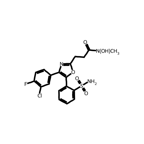 CN(O)C(=O)CCc1nc(-c2ccc(F)c(Cl)c2)c(-c2ccccc2S(N)(=O)=O)o1